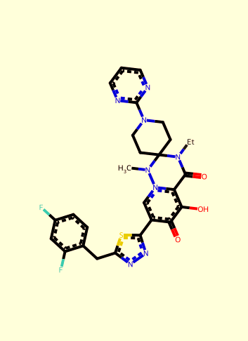 CCN1C(=O)c2c(O)c(=O)c(-c3nnc(Cc4ccc(F)cc4F)s3)cn2N(C)C12CCN(c1ncccn1)CC2